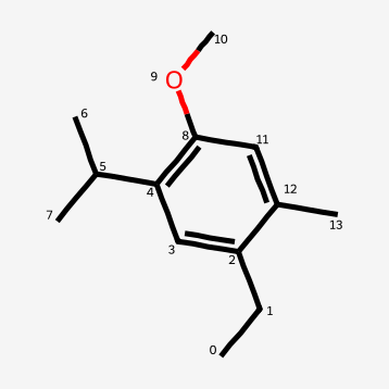 CCc1cc(C(C)C)c(OC)cc1C